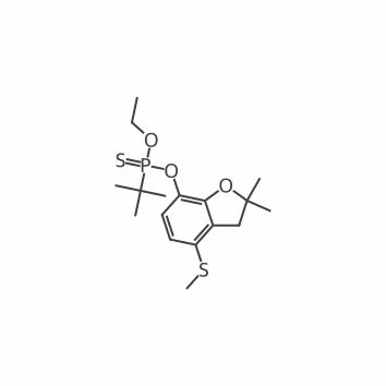 CCOP(=S)(Oc1ccc(SC)c2c1OC(C)(C)C2)C(C)(C)C